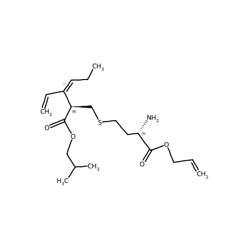 C=CCOC(=O)[C@@H](N)CCSC[C@@H](C(=O)OCC(C)C)/C(C=C)=C\CC